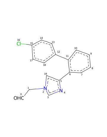 O=CCn1cnc(-c2ccccc2-c2ccc(Cl)cc2)c1